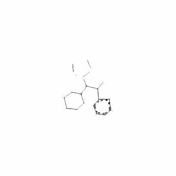 CO[SiH](OC)C(C1CCCCC1)C(C)c1ccccc1